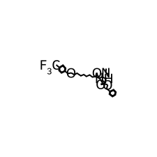 CN(C)C[C@@H](CC(=O)OCc1ccccc1)NC(=O)CCCCCCCOCc1ccc(C(F)(F)F)cc1